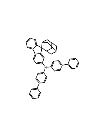 c1ccc(-c2ccc(N(c3ccc(-c4ccccc4)cc3)c3ccc4c(c3)C3(c5ccccc5-4)C4CC5CC(C4)CC3C5)cc2)cc1